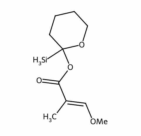 COC=C(C)C(=O)OC1([SiH3])CCCCO1